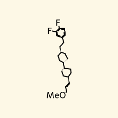 COCC=C[C@H]1CC[C@H]([C@H]2CC[C@H](CCc3ccc(F)c(F)c3)CC2)CC1